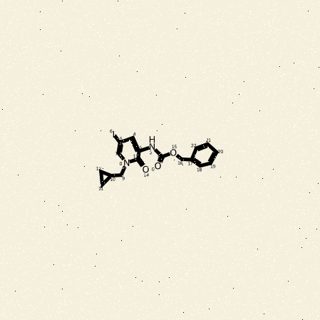 O=C(Nc1cc(I)cn(CC2CC2)c1=O)OCc1ccccc1